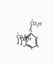 CC(=O)O.CC(=O)O.CC(=O)O.c1ccccc1